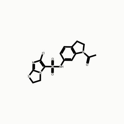 CC(=O)N1CCc2ccc(NS(=O)(=O)c3c(Cl)nc4n3CCS4)cc21